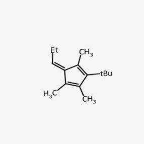 CCC=C1C(C)=C(C)C(C(C)(C)C)=C1C